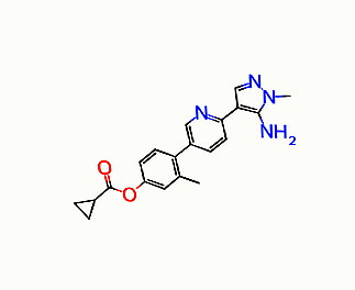 Cc1cc(OC(=O)C2CC2)ccc1-c1ccc(-c2cnn(C)c2N)nc1